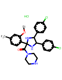 CCOc1cc(C(F)(F)F)ccc1C1(C(=O)N2CCNCC2)NC(c2ccc(Cl)cc2)C(c2ccc(Cl)cc2)N1.Cl